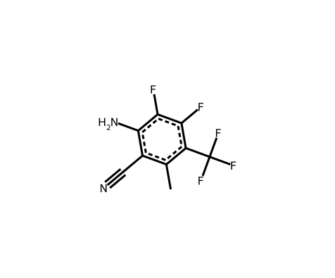 Cc1c(C#N)c(N)c(F)c(F)c1C(F)(F)F